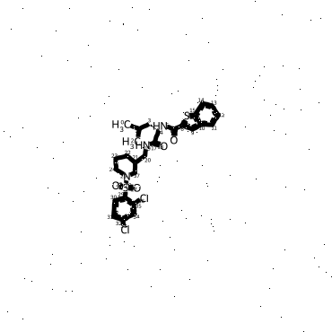 CC(C)C[C@H](NC(=O)c1cc2ccccc2s1)C(=O)NCC1CCCN(S(=O)(=O)c2ccc(Cl)cc2Cl)C1